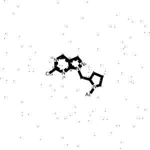 CC(=O)N1CCCC1Cn1ncc2cnc(Cl)nc21